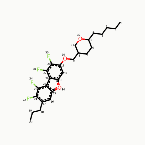 CCCCCC1CCC(COc2cc3oc4cc(CCC)c(F)c(F)c4c3c(F)c2F)CO1